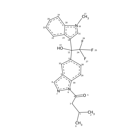 CC(C)CC(=O)n1ncc2cc(C(O)(c3cn(C)c4ccccc34)C(F)(F)F)ccc21